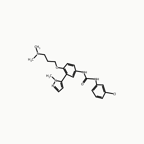 CN(C)CCCOc1ccc(NC(=O)Nc2cccc(Cl)c2)cc1-c1ccnn1C